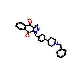 O=C1c2ccccc2C(=O)c2c1nnn2Cc1ccc(C2=CCN(Cc3ccccc3)CC2)cc1